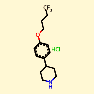 Cl.FC(F)(F)CCCOc1ccc(C2CCNCC2)cc1